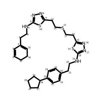 C1=CC(CCNc2nnc(CCSCCc3nnc(NCCc4ccc(C5CCCC5)cc4)s3)s2)=CCC1